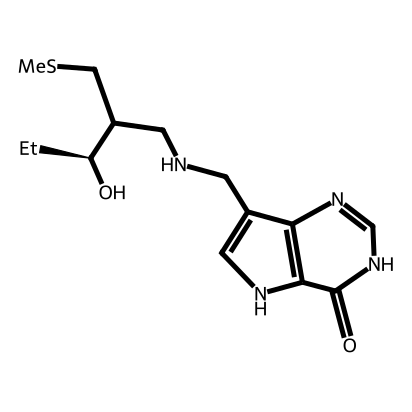 CC[C@H](O)C(CNCc1c[nH]c2c(=O)[nH]cnc12)CSC